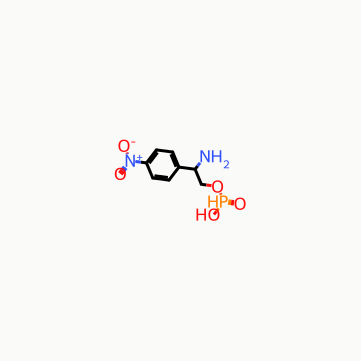 NC(CO[PH](=O)O)c1ccc([N+](=O)[O-])cc1